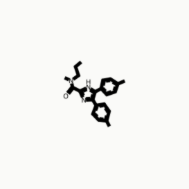 CCCN(C)C(=O)c1nc(-c2ccc(C)cc2)c(-c2ccc(C)cc2)[nH]1